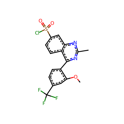 COc1cc(C(F)(F)F)ccc1-c1nc(C)nc2cc(S(=O)(=O)Cl)ccc12